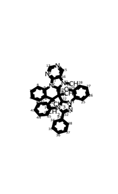 C=CC1(C)c2ccccc2N2c3ncncc3N(C)C2C1(C)C1N(c2ccccc2C)N=C(c2ccccc2)N1c1ccccc1